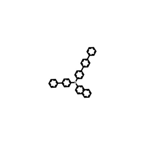 c1ccc(-c2ccc(-c3ccc(N(c4ccc(-c5ccccc5)cc4)c4ccc5ccccc5c4)cc3)cc2)cc1